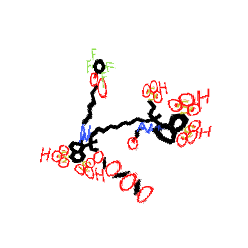 COCCOCCOCCOCCC1(C)\C(=C/C=C/C=C/C=C/C2=[N+](CCOC)c3ccc4c(S(=O)(=O)O)cc(S(=O)(=O)O)cc4c3C2(C)CCCS(=O)(=O)O)N(CCCCCC(=O)Oc2c(F)c(F)cc(F)c2F)c2ccc3c(S(=O)(=O)O)cc(S(=O)(=O)O)cc3c21